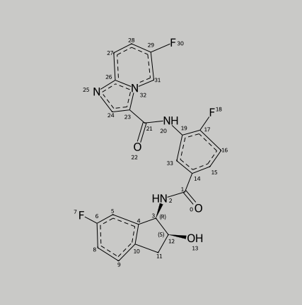 O=C(N[C@@H]1c2cc(F)ccc2C[C@@H]1O)c1ccc(F)c(NC(=O)c2cnc3ccc(F)cn23)c1